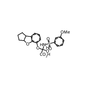 COc1cccc(S(=O)(=O)NC(O)(Oc2cccc3c2OC2CCCC32)C(=O)O)c1